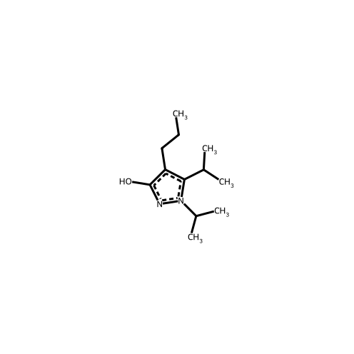 CCCc1c(O)nn(C(C)C)c1C(C)C